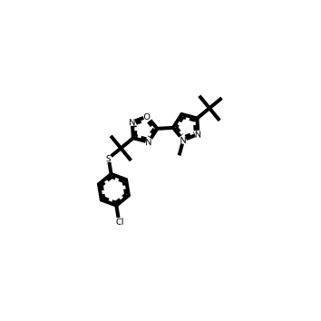 Cn1nc(C(C)(C)C)cc1-c1nc(C(C)(C)Sc2ccc(Cl)cc2)no1